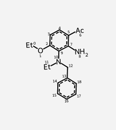 CCOc1ccc(C(C)=O)c(N)c1N(CC)Cc1ccccc1